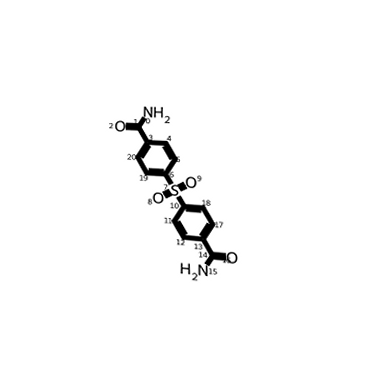 NC(=O)c1ccc(S(=O)(=O)c2ccc(C(N)=O)cc2)cc1